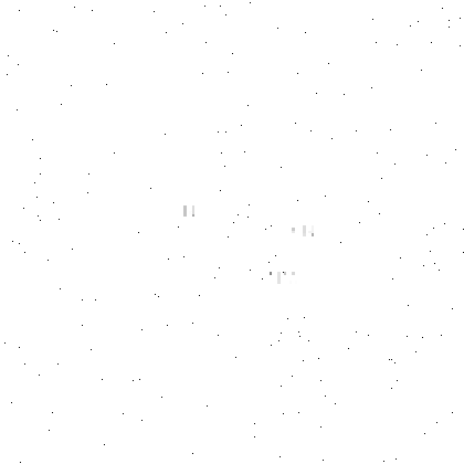 CCN1CCC(C#N)(NC)CC1